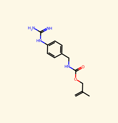 C=C(C)COC(=O)NCc1ccc(NC(=N)N)cc1